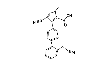 Cn1cc(C#N)c(-c2ccc(-c3ccccc3CC#N)cc2)c1C(=O)O